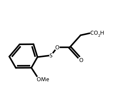 COc1ccccc1SOC(=O)CC(=O)O